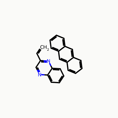 C=Cc1cnc2ccccc2n1.c1ccc2cc3ccccc3cc2c1